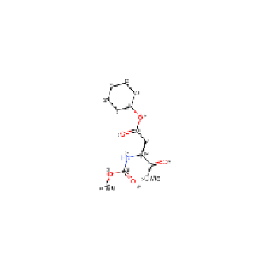 COC(=O)[C@H](CC(=O)OC1CCCCC1)NC(=O)OC(C)(C)C